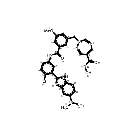 COc1cc(CN2C=NC=C(C(=O)NO)C=N2)cc(C(=O)Nc2ccc(Cl)c(-c3nc4cc(N(C)C)ccc4[nH]3)c2)c1